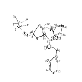 CC(C)(C)[Si](C)(C)O[C@H]1CN(C(=O)OCc2ccccc2)[C@](C)(n2ccnc2)C1